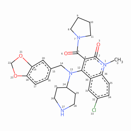 Cn1c(=O)c(C(=O)N2CCCC2)c(N(Cc2ccc3c(c2)OCO3)C2CCNCC2)c2cc(Cl)ccc21